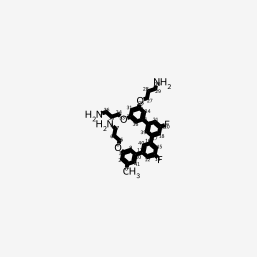 Cc1cc(OCCCN)cc(-c2cc(F)cc(-c3cc(F)cc(-c4cc(OCCCN)cc(OCCCN)c4)c3)c2)c1